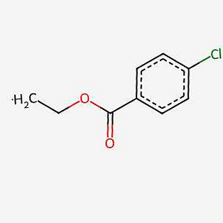 [CH2]COC(=O)c1ccc(Cl)cc1